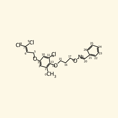 Cc1cc(OCC=C(Cl)Cl)cc(Cl)c1OCCCON=Cc1ccccc1